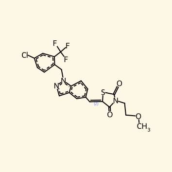 COCCN1C(=O)S/C(=C\c2ccc3c(cnn3Cc3ccc(Cl)cc3C(F)(F)F)c2)C1=O